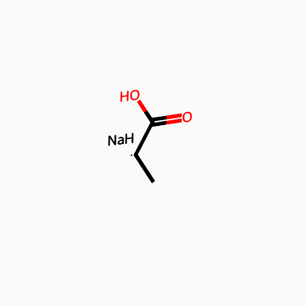 C[CH]C(=O)O.[NaH]